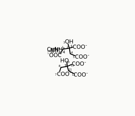 O=C([O-])CC(O)(CC(=O)[O-])C(=O)[O-].O=C([O-])CC(O)(CC(=O)[O-])C(=O)[O-].[Ce+4].[NH4+].[NH4+]